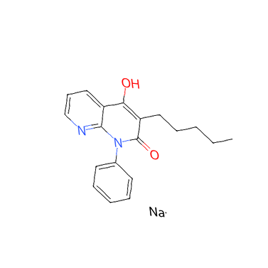 CCCCCc1c(O)c2cccnc2n(-c2ccccc2)c1=O.[Na]